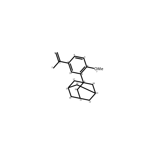 [CH]=C(C)c1ccc(OC)c(C23CC4CC(CC(C4)C2)C3)c1